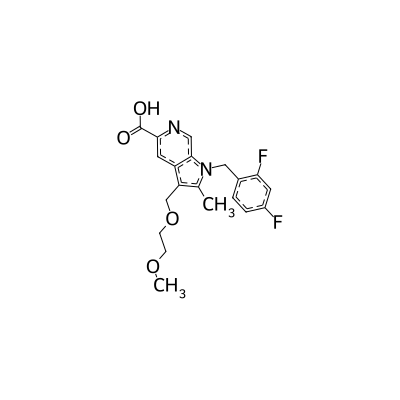 COCCOCc1c(C)n(Cc2ccc(F)cc2F)c2cnc(C(=O)O)cc12